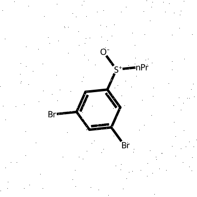 CCC[S+]([O-])c1cc(Br)[c]c(Br)c1